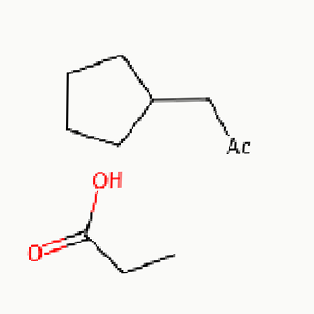 CC(=O)CC1CCCC1.CCC(=O)O